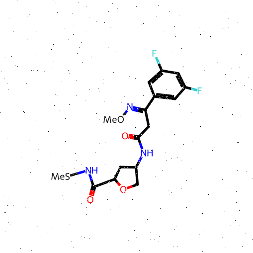 CO/N=C(\CC(=O)NC1COC(C(=O)NSC)C1)c1cc(F)cc(F)c1